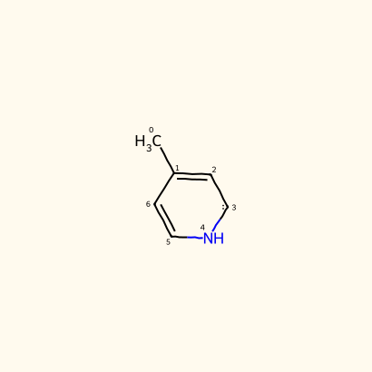 CC1=C[C]NC=C1